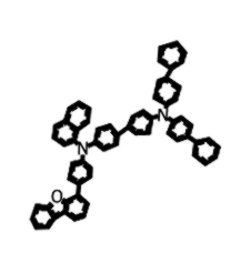 c1ccc(-c2ccc(N(c3ccc(-c4ccccc4)cc3)c3ccc(-c4ccc(N(c5ccc(-c6cccc7c6oc6ccccc67)cc5)c5cccc6ccccc56)cc4)cc3)cc2)cc1